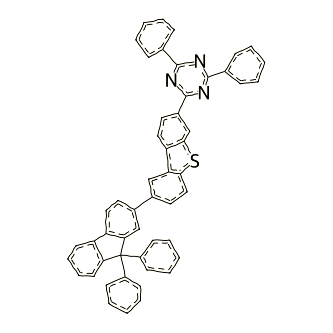 c1ccc(-c2nc(-c3ccccc3)nc(-c3ccc4c(c3)sc3ccc(-c5ccc6c(c5)C(c5ccccc5)(c5ccccc5)c5ccccc5-6)cc34)n2)cc1